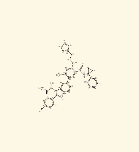 CNC(=O)c1c(-c2ccc(F)cc2)oc2ccc(-c3cc(C(=O)NC4(c5ccccn5)CC4)c(OCCn4ccnc4)cc3C)cc12